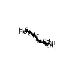 CCN(CCO)c1ccc(/C=C/c2cc[n+](CCSSCC[n+]3ccc(/C=C/c4ccc(N(CC)CCO)cc4C)cc3)cc2)c(C)c1